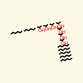 CC(C)O.CC(C)O.CC(C)O.CC(C)O.CC(C)O.CC(C)O.CC(C)O.CCCCCC.CCCCCC.CCCCCC.CCCCCC.CCCCCC.CCCCCC.CCCCCC